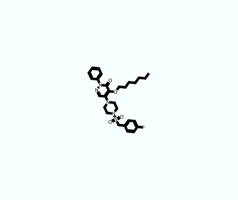 CCCCCCCOc1c(N2CCN(S(=O)(=O)Cc3ccc(F)cc3)CC2)cnn(-c2ccccc2)c1=O